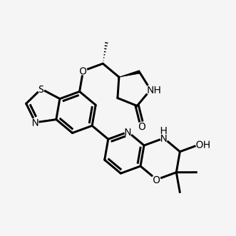 C[C@@H](Oc1cc(-c2ccc3c(n2)NC(O)C(C)(C)O3)cc2ncsc12)[C@H]1CNC(=O)C1